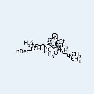 CCCCCCCCCCCC[N+](C)(C)CCCNC(=O)C(C)(C)CC(C)(CC(CC)N1CCCC1=O)C(=O)NCCCN(C)C